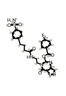 NS(=O)(=O)c1ccc(CCCC(=O)NCCn2c(OC(=O)c3ccc(F)cc3)nc3cnsc3c2=O)cc1